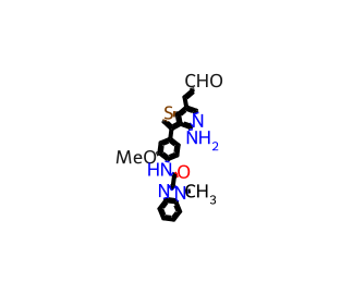 COc1cc(-c2csc3c(C=CC=O)cnc(N)c23)ccc1NC(=O)c1nc2ccccc2n1C